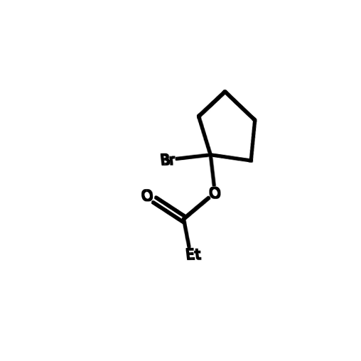 CCC(=O)OC1(Br)CCCC1